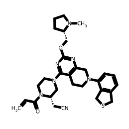 C=CC(=O)N1CCN(c2nc(OC[C@@H]3CCCN3C)nc3c2CCN(c2cccc4c2CSC4)C3)C[C@@H]1CC#N